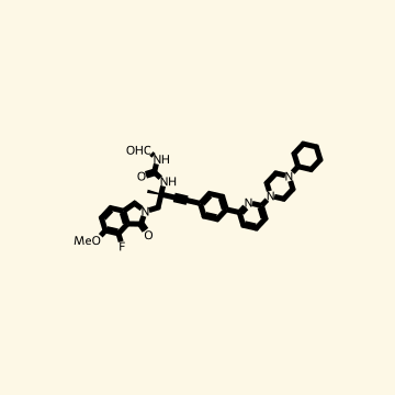 COc1ccc2c(c1F)C(=O)N(C[C@@](C)(C#Cc1ccc(-c3cccc(N4CCN(C5CCCCC5)CC4)n3)cc1)NC(=O)NC=O)C2